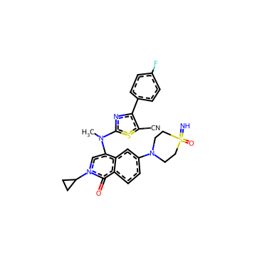 CN(c1nc(-c2ccc(F)cc2)c(C#N)s1)c1cn(C2CC2)c(=O)c2ccc(N3CCS(=N)(=O)CC3)cc12